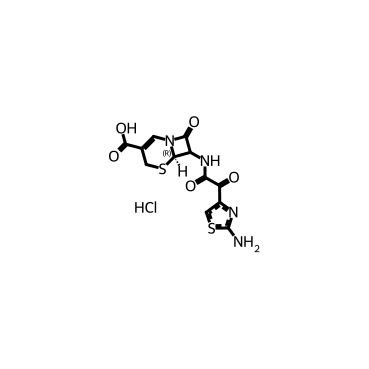 Cl.Nc1nc(C(=O)C(=O)NC2C(=O)N3C=C(C(=O)O)CS[C@H]23)cs1